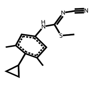 CS/C(=N\C#N)Nc1cc(C)c(C2CC2)c(C)c1